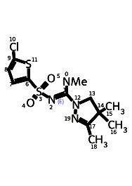 CN/C(=N\S(=O)(=O)c1ccc(Cl)s1)N1CC(C)(C)C(C)=N1